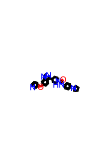 O=C(Nc1ccc(N2CCCC2)cc1)N1CCC(c2ncnc3cc(Oc4cccnc4)ccc23)CC1